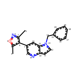 Cc1noc(C)c1-c1cnc2ccn(Cc3ccccc3)c2c1